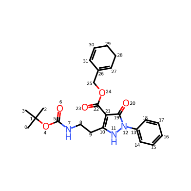 CC(C)(C)OC(=O)NCCc1[nH]n(-c2ccccc2)c(=O)c1C(=O)OCC1=CCCC=C1